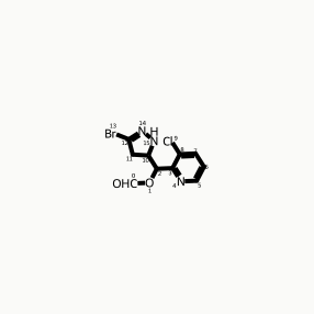 O=COC(c1ncccc1Cl)C1CC(Br)=NN1